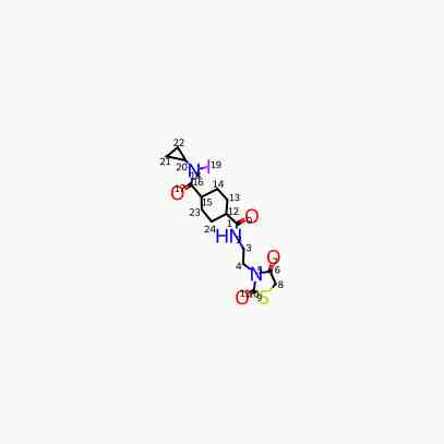 O=C(NCCN1C(=O)CSC1=O)C1CCC(C(=O)N(I)C2CC2)CC1